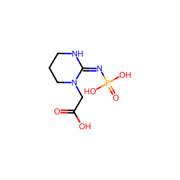 O=C(O)CN1CCCNC1=NP(=O)(O)O